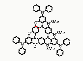 CSN1c2cc3c(cc2B2c4ccccc4Oc4cc(N(c5ccccc5)c5ccccc5)cc1c42)B1c2cc4c(cc2N(SC)c2cc(N(c5ccccc5)c5ccccc5)cc(c21)N3SC)Nc1cc(N(c2ccccc2)c2ccccc2)cc2c1B4c1ccccc1O2